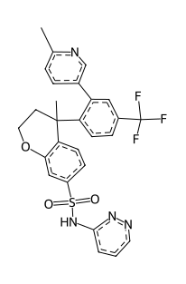 Cc1ccc(-c2cc(C(F)(F)F)ccc2C2(C)CCOc3cc(S(=O)(=O)Nc4cccnn4)ccc32)cn1